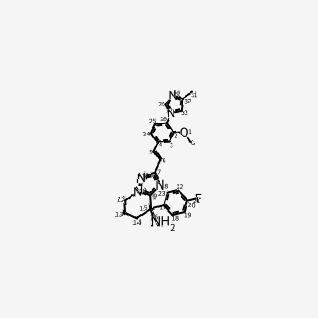 COc1cc(/C=C/c2nc3n(n2)CCCC3(N)c2ccc(F)cc2)ccc1-n1cnc(C)c1